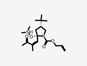 C=CCOC(=O)N1C[C@@H](C(C)(C)C)C[C@@]1(C=C(C)C(C)=O)O[SiH](C)C